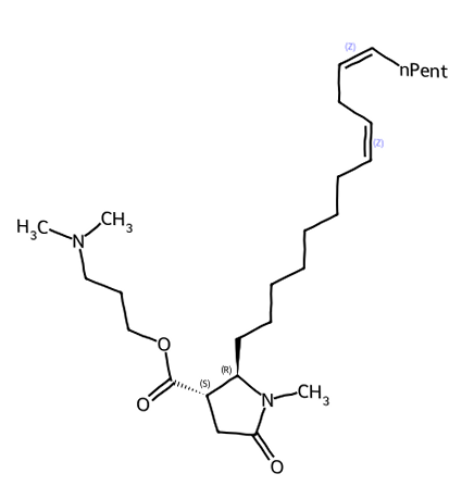 CCCCC/C=C\C/C=C\CCCCCCC[C@@H]1[C@@H](C(=O)OCCCN(C)C)CC(=O)N1C